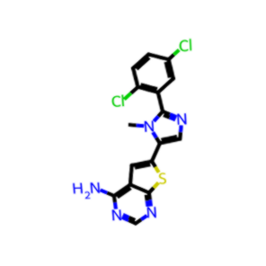 Cn1c(-c2cc3c(N)ncnc3s2)cnc1-c1cc(Cl)ccc1Cl